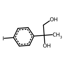 CC(O)(CO)c1ccc(I)cc1